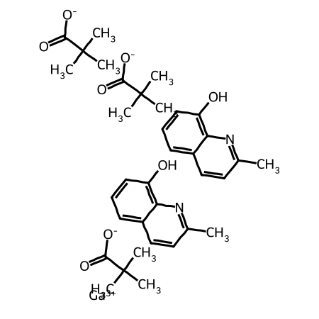 CC(C)(C)C(=O)[O-].CC(C)(C)C(=O)[O-].CC(C)(C)C(=O)[O-].Cc1ccc2cccc(O)c2n1.Cc1ccc2cccc(O)c2n1.[Ga+3]